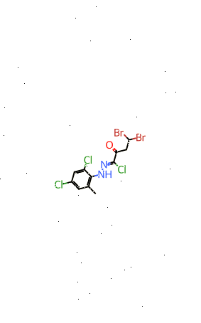 Cc1cc(Cl)cc(Cl)c1NN=C(Cl)C(=O)CC(Br)Br